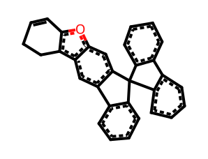 C1=Cc2oc3cc4c(cc3c2CC1)-c1ccccc1C41c2ccccc2-c2ccccc21